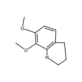 COc1ccc2c(c1OC)[N]CCC2